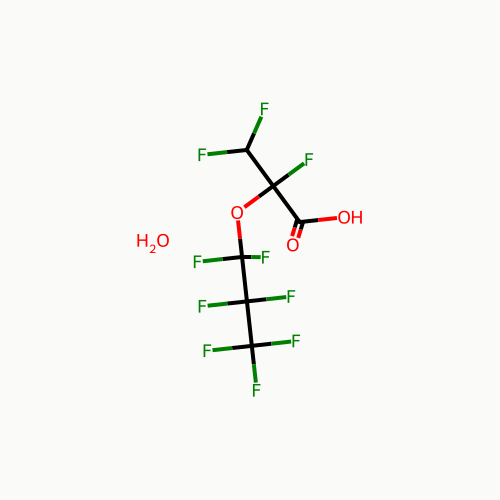 O.O=C(O)C(F)(OC(F)(F)C(F)(F)C(F)(F)F)C(F)F